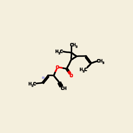 C#CC(/C=C/C)OC(=O)C1C(C=C(C)C)C1(C)C